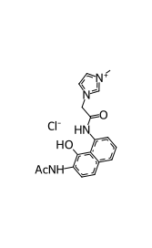 CC(=O)Nc1ccc2cccc(NC(=O)Cn3cc[n+](C)c3)c2c1O.[Cl-]